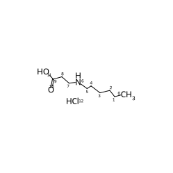 CCCCCCNCCC(=O)O.Cl